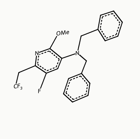 COc1nc(CC(F)(F)F)c(F)cc1N(Cc1ccccc1)Cc1ccccc1